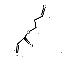 C=CC(=O)OCCC=O